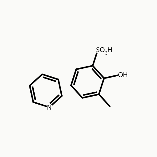 Cc1cccc(S(=O)(=O)O)c1O.c1ccncc1